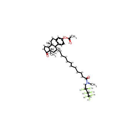 CC(=O)Oc1ccc2c(c1)CC[C@@H]1[C@@H]2[C@@H](CCCCCCCCCCC(=O)N(C)CC(F)(F)C(F)(F)C(F)(F)F)C[C@]2(C)C(=O)CC[C@@H]12